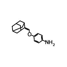 Nc1ccc(OC=C2C3CC4CC(C3)CC2C4)cc1